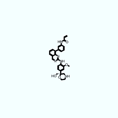 C=CC(=O)Nc1cccc(-c2cccc3cnc(Nc4ccc([C@@]5(CO)CNCCO5)cc4OC)nc23)c1